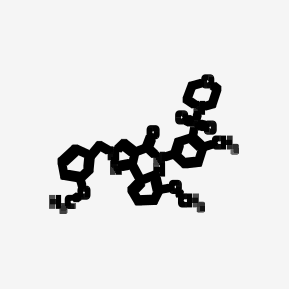 COc1cccc(Cn2cc(C(=O)Nc3ccc(C)c(S(=O)(=O)N4CCOCC4)c3)c(-c3cccc(OC)c3)n2)c1